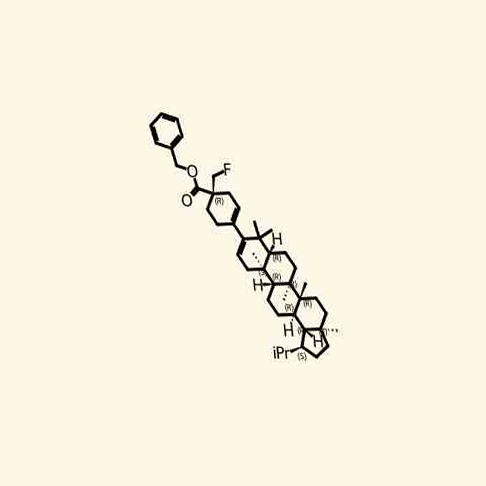 CC(C)[C@@H]1CC[C@]2(C)CC[C@]3(C)[C@H](CC[C@@H]4[C@@]5(C)CC=C(C6=CC[C@@](CF)(C(=O)OCc7ccccc7)CC6)C(C)(C)[C@@H]5CC[C@]43C)[C@@H]12